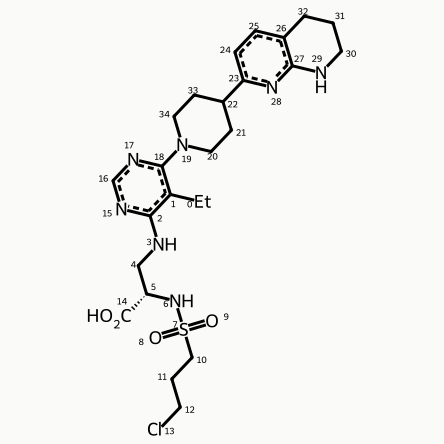 CCc1c(NC[C@H](NS(=O)(=O)CCCCl)C(=O)O)ncnc1N1CCC(c2ccc3c(n2)NCCC3)CC1